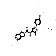 Cc1nn(-c2ccc(F)cc2)cc1NC(=O)N1Cc2ccncc2C1